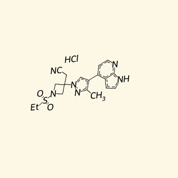 CCS(=O)(=O)N1CC(CC#N)(n2cc(-c3ccnc4[nH]ccc34)c(C)n2)C1.Cl